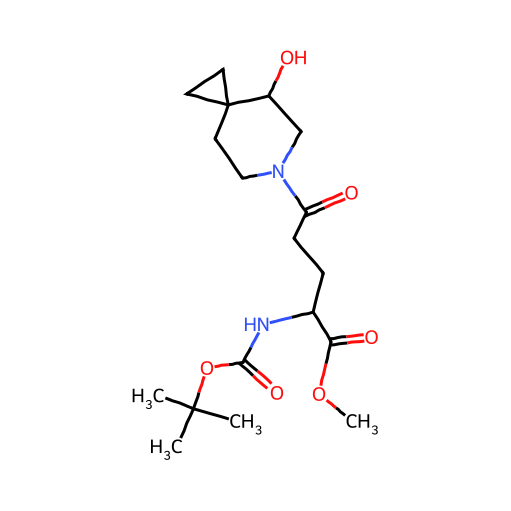 COC(=O)C(CCC(=O)N1CCC2(CC2)C(O)C1)NC(=O)OC(C)(C)C